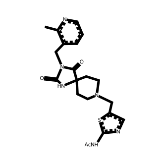 CC(=O)Nc1ncc(CN2CCC3(CC2)NC(=O)N(Cc2cccnc2C)C3=O)s1